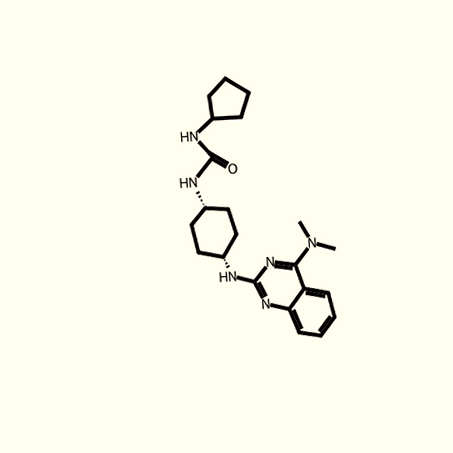 CN(C)c1nc(N[C@H]2CC[C@@H](NC(=O)NC3CCCC3)CC2)nc2ccccc12